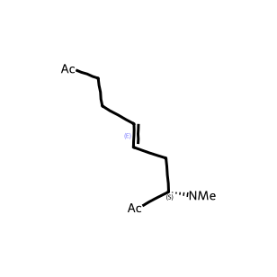 CN[C@@H](C/C=C/CCC(C)=O)C(C)=O